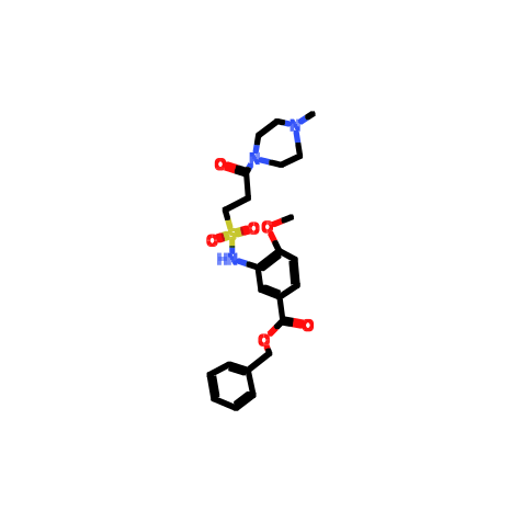 COc1ccc(C(=O)OCc2ccccc2)cc1NS(=O)(=O)CCC(=O)N1CCN(C)CC1